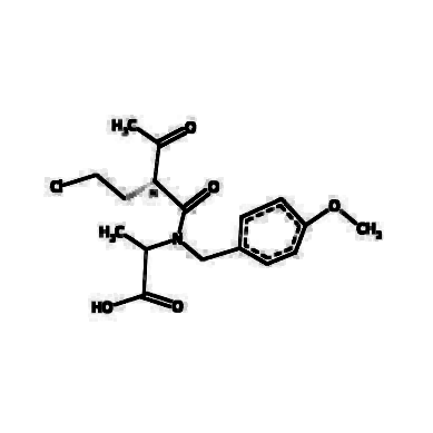 COc1ccc(CN(C(=O)[C@H](CCCl)C(C)=O)C(C)C(=O)O)cc1